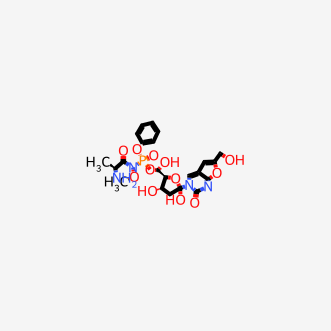 CON(C(=O)[C@H](C)N)P(=O)(Oc1ccccc1)OC(O)[C@H]1OC(O)(n2cc3cc(CO)oc3nc2=O)C[C@@H]1O